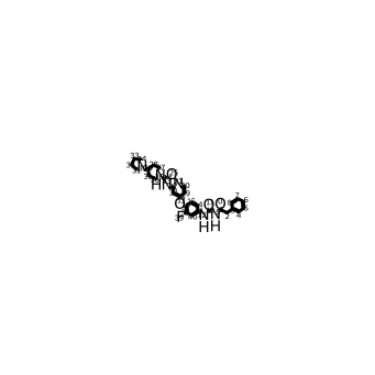 O=C(Cc1ccccc1)NC(=O)Nc1ccc(Oc2ccnc(NC(=O)N3CCC(N4CCCC4)CC3)c2)c(F)c1